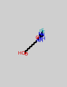 O=C(O)CCCCCCCCCCCNC(=O)Nc1cnc(C(F)(F)F)nc1